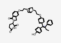 CC/C(=C(\c1ccc(O)cc1)c1ccc(OCCN2CC3CC2CN3CCOc2ccc3c(c2)CN(C2CCC(=O)NC2=O)C3=O)cc1)c1ccccc1